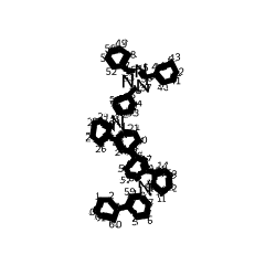 c1ccc(-c2cccc(-n3c4ccccc4c4cc(-c5ccc6c(c5)c5ccccc5n6-c5ccc(-c6nc(-c7ccccc7)nc(-c7ccccc7)n6)cc5)ccc43)c2)cc1